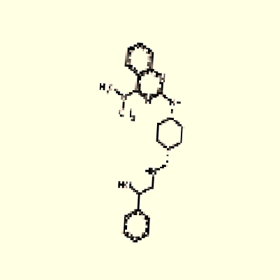 CN(C)c1nc(N[C@H]2CC[C@@H](CNCC(O)c3ccccc3)CC2)nc2ccccc12